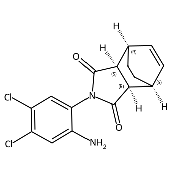 Nc1cc(Cl)c(Cl)cc1N1C(=O)[C@@H]2[C@H](C1=O)[C@@H]1C=C[C@H]2CC1